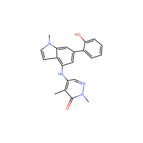 Cc1c(Nc2cc(-c3ccccc3O)cc3c2ccn3C)cnn(C)c1=O